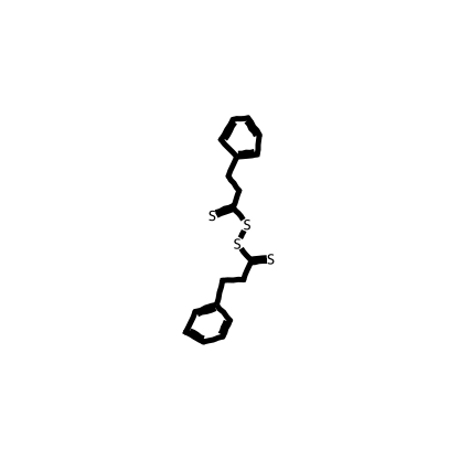 S=C(CCc1ccccc1)SSC(=S)CCc1ccccc1